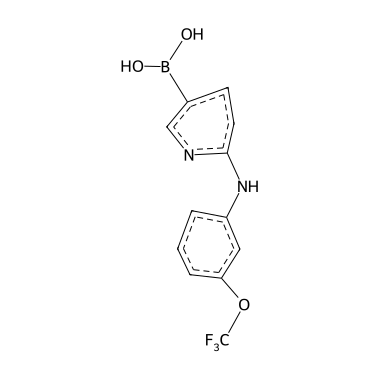 OB(O)c1ccc(Nc2cccc(OC(F)(F)F)c2)nc1